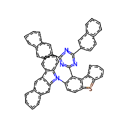 c1ccc2cc(-c3nc(-c4ccc5ccccc5c4)nc(-c4c(-n5c6ccccc6c6cc7ccccc7cc65)ccc5sc6ccccc6c45)n3)ccc2c1